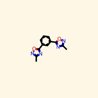 Cc1noc(-c2cccc(-c3nc(C)no3)c2)n1